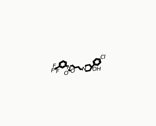 O=C1OC(CCN2CCC(O)(c3ccc(Cl)cc3)CC2)CN1c1cccc(C(F)(F)F)c1